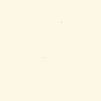 C=C1C[C@@H](c2ncc(-c3ccc4cc(-c5ccc(-c6cnc([C@@H]7CCCN7C(=O)[C@H](NC(=O)OC)c7ccccc7)[nH]6)cc5)ccc4c3)[nH]2)N(C(=O)CNC(=O)OC)C1